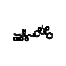 C=C/C=C(\C=O)NC(=O)CCN1CCC2(CC1)CN(c1ccccc1)C(=O)C(C)O2